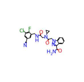 N#Cc1cc(Cl)c(F)c(CNC(=O)CN(C(=O)Cn2nc(C(N)=O)c3ccccc32)C2CC2)c1